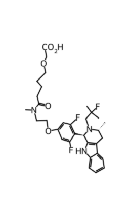 C[C@@H]1Cc2c([nH]c3ccccc23)[C@@H](c2c(F)cc(OCCN(C)C(=O)CCCCOCC(=O)O)cc2F)N1CC(C)(C)F